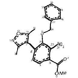 COC(=O)c1ccc(-c2c(C)noc2C)c(OCc2ccccc2)c1[N+](=O)[O-]